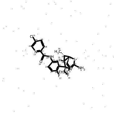 CCOC(=O)/C=C/[C@@]12SC(N)=N[C@](CF)(c3cc(NC(=O)c4ccc(Cl)cn4)ccc3F)[C@@H]1[C@@H]2C